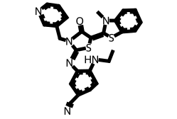 CCNc1ccc(C#N)cc1/N=C1\S/C(=C2\Sc3ccccc3N2C)C(=O)N1Cc1cccnc1